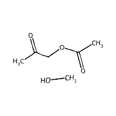 CC(=O)COC(C)=O.CO